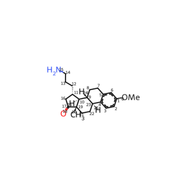 COc1ccc2c(c1)CC[C@H]1[C@@H]3[C@@H](CCCN)CC(=O)[C@@]3(C)CC[C@H]21